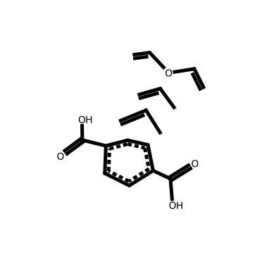 C=CC.C=CC.C=COC=C.O=C(O)c1ccc(C(=O)O)cc1